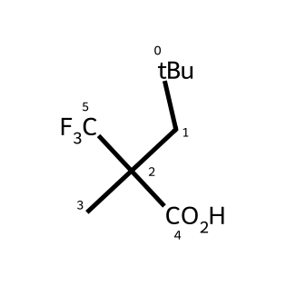 CC(C)(C)CC(C)(C(=O)O)C(F)(F)F